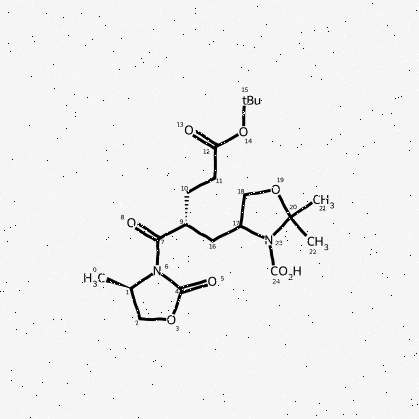 C[C@@H]1COC(=O)N1C(=O)[C@H](CCC(=O)OC(C)(C)C)CC1COC(C)(C)N1C(=O)O